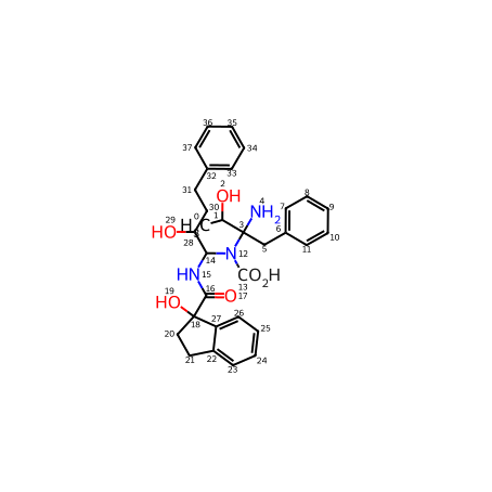 CC(O)C(N)(Cc1ccccc1)N(C(=O)O)C(NC(=O)C1(O)CCc2ccccc21)C(O)CCc1ccccc1